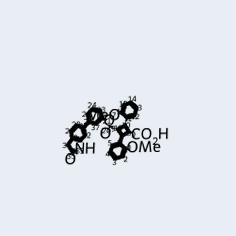 COc1ccccc1C1[C@H](C(=O)O)[C@@H](c2ccccc2OC)[C@H]1C(=O)Oc1cccc(-c2ccc3c(c2)NC(=O)C3)c1